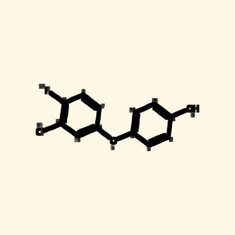 Oc1ccc(Oc2ccc(F)c(Cl)c2)cc1